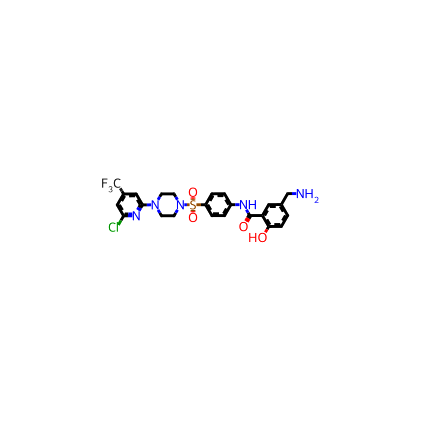 NCc1ccc(O)c(C(=O)Nc2ccc(S(=O)(=O)N3CCN(c4cc(C(F)(F)F)cc(Cl)n4)CC3)cc2)c1